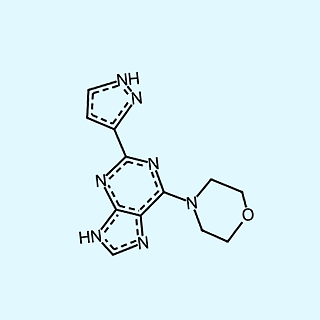 c1cc(-c2nc(N3CCOCC3)c3nc[nH]c3n2)n[nH]1